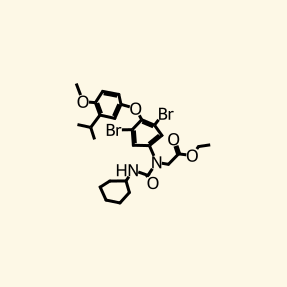 CCOC(=O)CN(C(=O)NC1CCCCC1)c1cc(Br)c(Oc2ccc(OC)c(C(C)C)c2)c(Br)c1